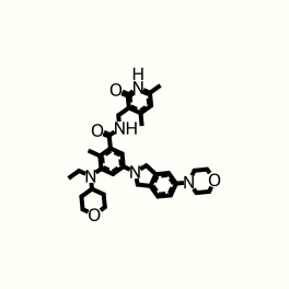 CCN(c1cc(N2Cc3ccc(N4CCOCC4)cc3C2)cc(C(=O)NCc2c(C)cc(C)[nH]c2=O)c1C)C1CCOCC1